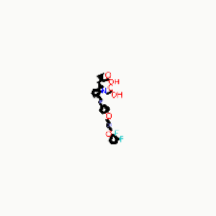 O=C(O)Cn1cc(CC2(CC(=O)O)CC2)c2cccc(/C=C/c3ccc(OC/C=C/COc4cccc(F)c4F)cc3)c21